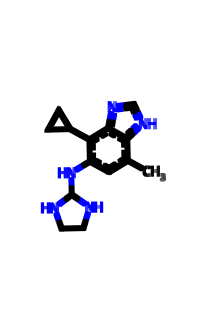 Cc1cc(NC2NCCN2)c(C2CC2)c2nc[nH]c12